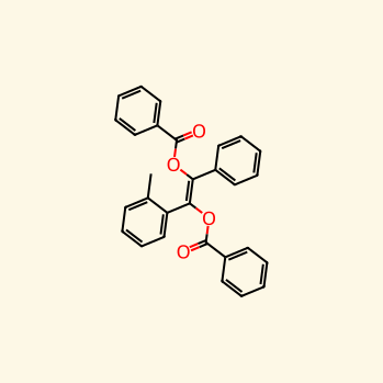 Cc1ccccc1/C(OC(=O)c1ccccc1)=C(\OC(=O)c1ccccc1)c1ccccc1